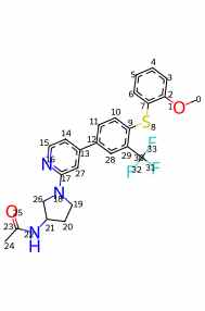 COc1ccccc1Sc1ccc(-c2ccnc(N3CCC(NC(C)=O)C3)c2)cc1C(F)(F)F